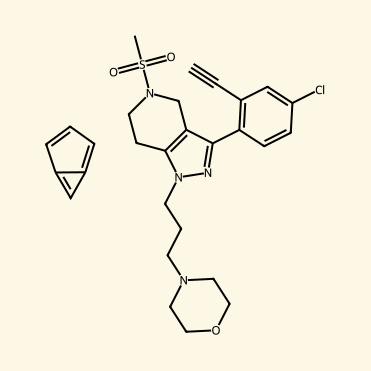 C#Cc1cc(Cl)ccc1-c1nn(CCCN2CCOCC2)c2c1CN(S(C)(=O)=O)CC2.c1cc2cc-2c1